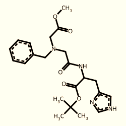 COC(=O)CN(CC(=O)NC(Cc1c[nH]cn1)C(=O)OC(C)(C)C)Cc1ccccc1